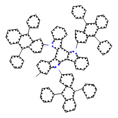 Cc1ccc2c3c4c(c5ccccc5n4-c4ccc5c(-c6ccccc6)c6ccccc6c(-c6ccccc6)c5c4)c4c(c5ccccc5n4-c4ccc5c(-c6ccccc6)c6ccccc6c(-c6ccccc6)c5c4)c3n(-c3ccc4c(-c5ccccc5)c5ccccc5c(-c5ccccc5)c4c3)c2c1